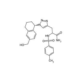 Cc1ccc(S(=O)(=O)NC(Cc2cn([C@@H]3CCCc4cc(CO)ccc43)nn2)C(N)=O)cc1